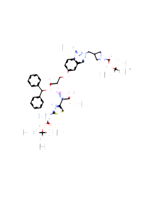 C[n+]1c2ccc(OCC(O/N=C(\C(=O)O)c3csc(NC(=O)OC(C)(C)C)n3)C(=O)OC(c3ccccc3)c3ccccc3)cc2cn1CC1CN(C(=O)OC(C)(C)C)C1